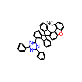 N#Cc1cccc2oc3ccc4c(c3c12)-c1ccccc1C41c2ccccc2-c2c(-c3nc(-c4ccccc4)nc(-c4ccccc4)n3)cccc21